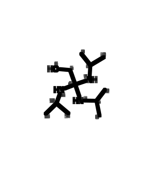 CC(C)NC(CO)(NC(C)C)NC(C)C